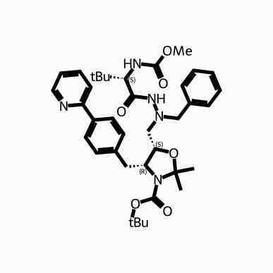 COC(=O)N[C@H](C(=O)NN(Cc1ccccc1)C[C@@H]1OC(C)(C)N(C(=O)OC(C)(C)C)[C@@H]1Cc1ccc(-c2ccccn2)cc1)C(C)(C)C